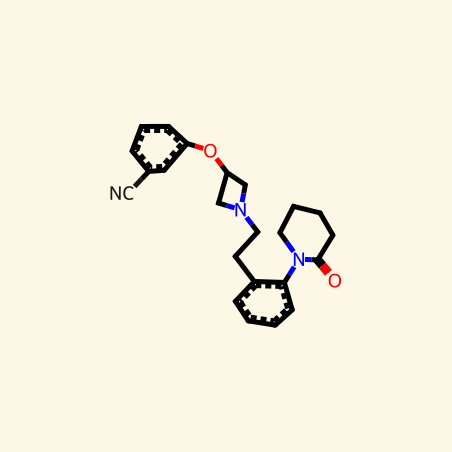 N#Cc1cccc(OC2CN(CCc3ccccc3N3CCCCC3=O)C2)c1